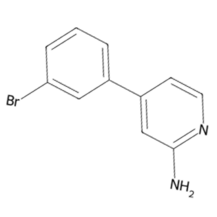 Nc1cc(-c2cccc(Br)c2)ccn1